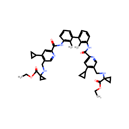 CCOC(=O)C1(NCc2cnc(C(=O)Nc3cccc(-c4cccc(NC(=O)c5cc(C6CC6)c(CNC6(C(=O)OCC)CC6)cn5)c4C)c3C)cc2C2CC2)CC1